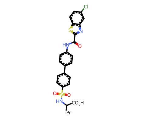 CC(C)C(NS(=O)(=O)c1ccc(-c2ccc(NC(=O)c3nc4cc(Cl)ccc4s3)cc2)cc1)C(=O)O